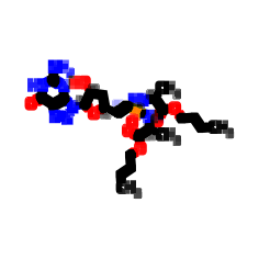 CCCCOC(=O)[C@H](C)NP(=O)(/C=C/[C@@H]1C[C@@H](O)[C@H](n2nnc3c(=O)[nH]c(N)nc32)O1)N[C@@H](C)C(=O)OCCCC